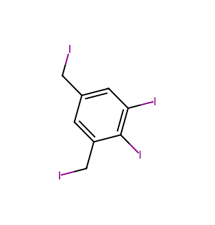 ICc1cc(I)c(I)c(CI)c1